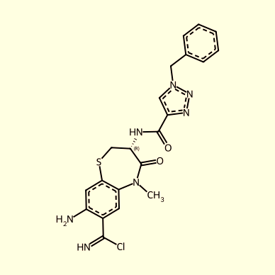 CN1C(=O)[C@@H](NC(=O)c2cn(Cc3ccccc3)nn2)CSc2cc(N)c(C(=N)Cl)cc21